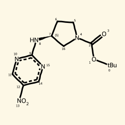 CC(C)(C)OC(=O)N1CC[C@H](Nc2ncc([N+](=O)[O-])cn2)C1